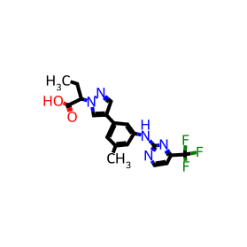 CCC(C(=O)O)n1cc(-c2cc(C)cc(Nc3nccc(C(F)(F)F)n3)c2)cn1